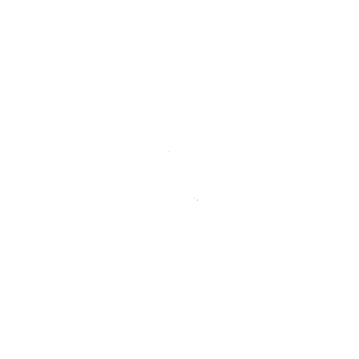 CC1(C)C2CC(N3CCOCC3)C3(CS)CCC213